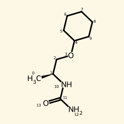 C[C@@H](COC1CCCCC1)NC(N)=O